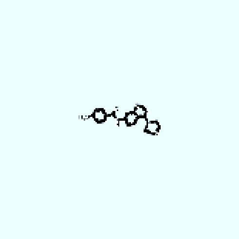 Cc1ccc(C(=O)Nc2ccc3c(N4C=CN=CC4)ncnc3c2)cc1